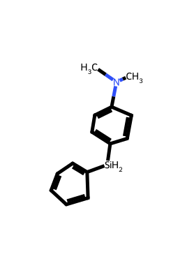 CN(C)c1ccc([SiH2]c2ccccc2)cc1